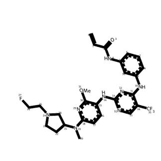 C=CC(=O)Nc1cccc(Nc2nc(Nc3ccc(N(C)C4CCN(CCF)C4)nc3OC)ncc2C(F)(F)F)c1